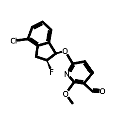 COc1nc(O[C@@H]2c3cccc(Cl)c3C[C@@H]2F)ccc1C=O